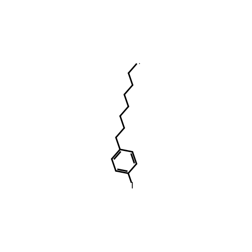 [CH2]CCCCCCCc1ccc(I)cc1